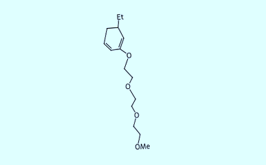 CCC1C=C(OCCOCCOCCOC)C=CC1